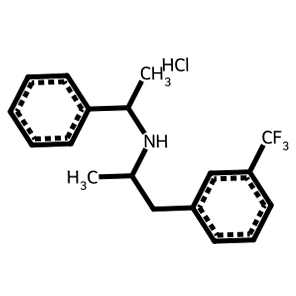 CC(Cc1cccc(C(F)(F)F)c1)NC(C)c1ccccc1.Cl